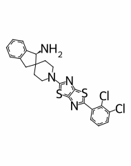 N[C@@H]1c2ccccc2CC12CCN(c1nc3sc(-c4cccc(Cl)c4Cl)nc3s1)CC2